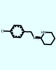 Clc1ccc(C/N=C2/CCCCN2)cc1